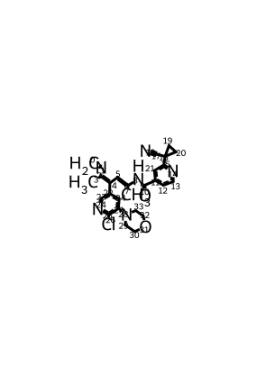 C=N/C(C)=C(\C=C(/C)NC(=O)c1ccnc(C2(C#N)CC2)c1)c1cnc(Cl)c(N2CCOCC2)c1